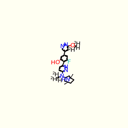 [2H]C([2H])([2H])Oc1cc(-c2cc(O)c(-c3ccc(N(C4C[C@]5(C)CC[C@](C)(C4)N5)C([2H])([2H])[2H])nn3)c(F)c2)cnn1